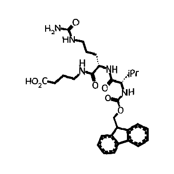 CC(C)[C@H](NC(=O)OCC1c2ccccc2-c2ccccc21)C(=O)N[C@@H](CCCNC(N)=O)C(=O)NCCCC(=O)O